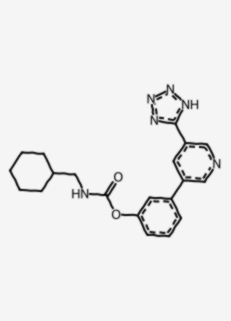 O=C(NCC1CCCCC1)Oc1cccc(-c2cncc(-c3nnn[nH]3)c2)c1